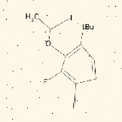 CC(I)Oc1c(C(C)(C)C)ccc(F)c1F